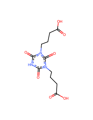 O=C(O)CCCn1c(=O)[nH]c(=O)n(CCCC(=O)O)c1=O